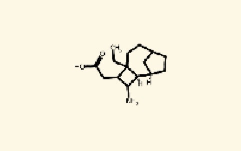 CCC12CCC3CC[C@H](C3)[C@H]1C(N)C2CC(=O)O